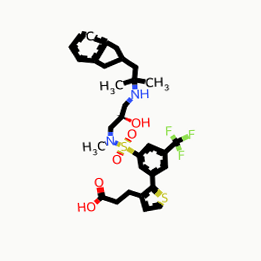 CN(C[C@H](O)CNC(C)(C)CC1Cc2ccccc2C1)S(=O)(=O)c1cc(-c2sccc2CCC(=O)O)cc(C(F)(F)F)c1